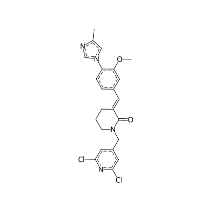 COc1cc(C=C2CCCN(Cc3cc(Cl)nc(Cl)c3)C2=O)ccc1-n1cnc(C)c1